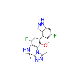 COc1c(-c2cc(F)cc3[nH]ncc23)cc(F)c2c1-n1c(C)nnc1C(C)(C)N2